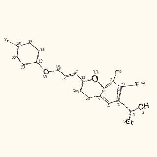 CCC(O)c1cc2c(c(F)c1F)OC(/C=C/COC1CCC(C)CC1)CC2